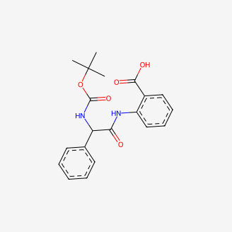 CC(C)(C)OC(=O)NC(C(=O)Nc1ccccc1C(=O)O)c1ccccc1